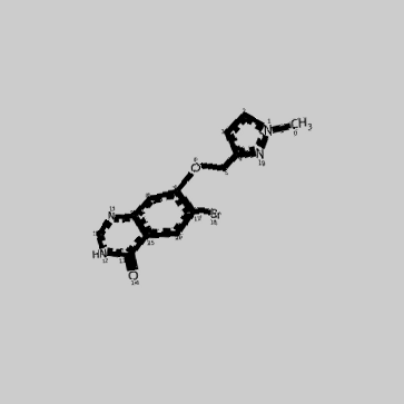 Cn1ccc(COc2cc3nc[nH]c(=O)c3cc2Br)n1